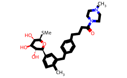 CS[C@H]1O[C@@H](c2ccc(C)c(Cc3ccc(CCCC(=O)N4CCN(C)CC4)cc3)c2)[C@H](O)[C@@H](O)[C@@H]1O